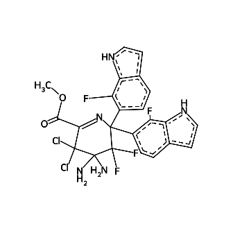 COC(=O)C1=NC(c2ccc3cc[nH]c3c2F)(c2ccc3cc[nH]c3c2F)C(F)(F)C(N)(N)C1(Cl)Cl